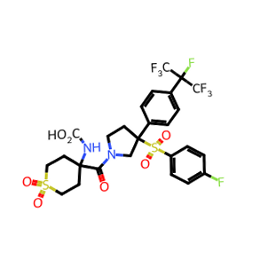 O=C(O)NC1(C(=O)N2CCC(c3ccc(C(F)(C(F)(F)F)C(F)(F)F)cc3)(S(=O)(=O)c3ccc(F)cc3)C2)CCS(=O)(=O)CC1